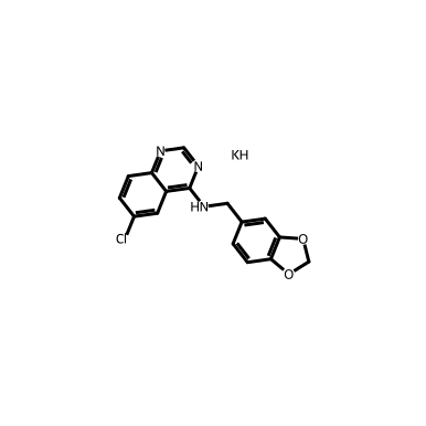 Clc1ccc2ncnc(NCc3ccc4c(c3)OCO4)c2c1.[KH]